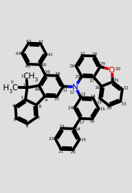 CC1(C)c2ccccc2-c2cc(N(c3cccc(-c4ccccc4)c3)c3cccc4oc5ccccc5c34)cc(-c3ccccc3)c21